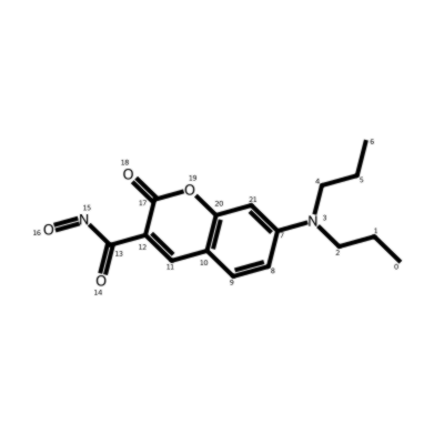 CCCN(CCC)c1ccc2cc(C(=O)N=O)c(=O)oc2c1